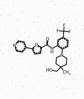 CC1(CO)CCN(c2ccc(C(F)(F)F)cc2NC(=O)c2ccc(-c3ccncc3)o2)CC1